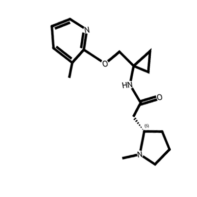 Cc1cccnc1OCC1(NC(=O)C[C@@H]2CCCN2C)CC1